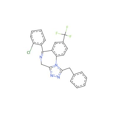 FC(F)(F)c1ccc2c(c1)C(c1ccccc1Cl)=NCc1nnc(Cc3ccccc3)n1-2